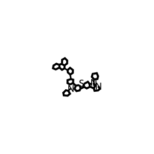 c1ccc(-n2c3ccc(-c4cccc(-c5cc6ccccc6c6ccccc56)c4)cc3c3c4sc5cc6c(cc5c4ccc32)c2cccnc2n6-c2ccccc2)cc1